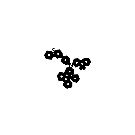 CC1(C)c2ccccc2-c2ccc(N(c3ccc(-c4ccc5sc6ccccc6c5c4)cc3)c3ccc(C4(c5ccccc5)c5ccccc5-c5ccccc54)cc3)cc21